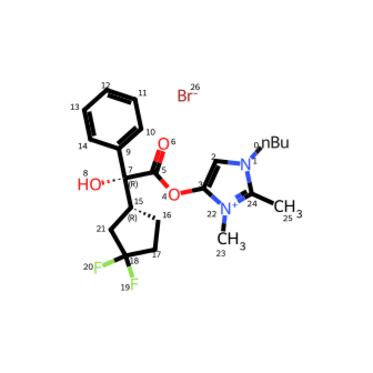 CCCCn1cc(OC(=O)[C@](O)(c2ccccc2)[C@@H]2CCC(F)(F)C2)[n+](C)c1C.[Br-]